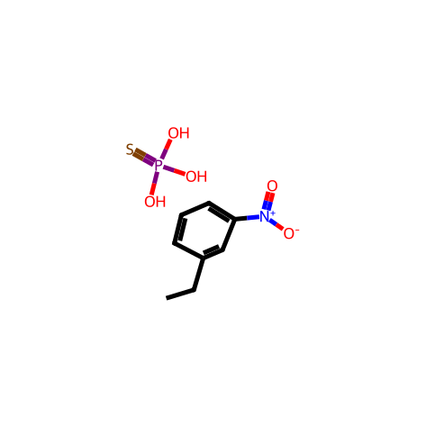 CCc1cccc([N+](=O)[O-])c1.OP(O)(O)=S